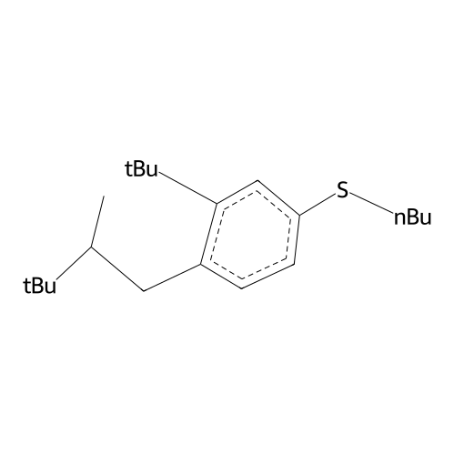 CCCCSc1ccc(CC(C)C(C)(C)C)c(C(C)(C)C)c1